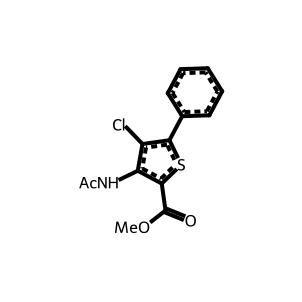 COC(=O)c1sc(-c2ccccc2)c(Cl)c1NC(C)=O